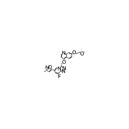 COCCOc1ccc2c(OCc3nnc4c(F)cc(-c5cc(C)no5)cn34)ccnc2c1